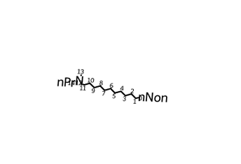 CCCCCCCCCCCCCCCCCCCCN(C)CCC